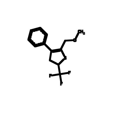 COCC1=C(c2ccccc2)CC(C(F)(F)F)S1